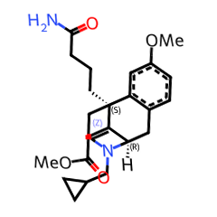 COC(=O)/C=C1\[C@H]2Cc3ccc(OC)cc3[C@]1(CCCC(N)=O)CCN2CC1CC1